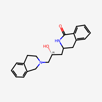 O=C1NC(C[C@@H](O)CN2CCc3ccccc3C2)Cc2ccccc21